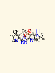 CCS(=O)(=O)c1cc(NC2(C#N)CC2)cnc1-c1nnc(-c2cc(C(F)(F)F)ccn2)n1C